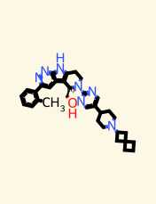 Cc1ccccc1-c1cc2c3c([nH]c2nn1)CCN(c1ncc(C2CCN(C4CC5(CCC5)C4)CC2)cn1)[C@H]3CO